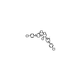 C[C@@H]1CN(c2ccc(Cl)cc2)CCN1C(CCl)C(=O)C(CCl)N1CCN(c2ccc(Cl)cc2)C[C@H]1C